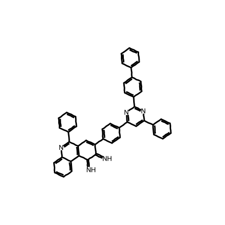 N=C1C(=N)c2c(c(-c3ccccc3)nc3ccccc23)C=C1c1ccc(-c2cc(-c3ccccc3)nc(-c3ccc(-c4ccccc4)cc3)n2)cc1